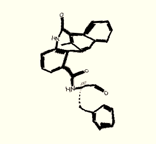 Cc1c2cc3ccccc3c1C(=O)Nc1cccc(C(=O)N[C@H](C=O)Cc3ccccc3)c1-2